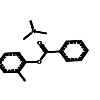 CN(C)C.Cc1ccccc1OC(=O)c1ccccc1